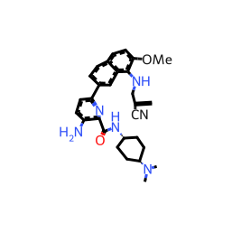 C=C(C#N)CNc1c(OC)ccc2ccc(-c3ccc(N)c(C(=O)N[C@H]4CC[C@@H](N(C)C)CC4)n3)cc12